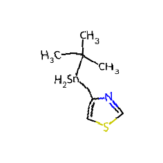 C[C](C)(C)[SnH2][c]1cscn1